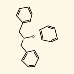 [O-][S+](Cc1ccccc1)Cc1ccccc1.c1ccccc1